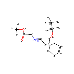 CC(C)(C)OC(=O)C/N=C/CC1(CO[Si](C)(C)C(C)(C)C)CC=CCC1